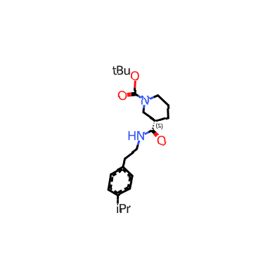 CC(C)c1ccc(CCNC(=O)[C@H]2CCCN(C(=O)OC(C)(C)C)C2)cc1